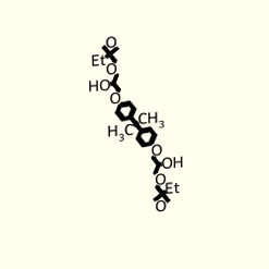 CCC1(COCC(O)COc2ccc(C(C)(C)c3ccc(OCC(O)COCC4(CC)COC4)cc3)cc2)COC1